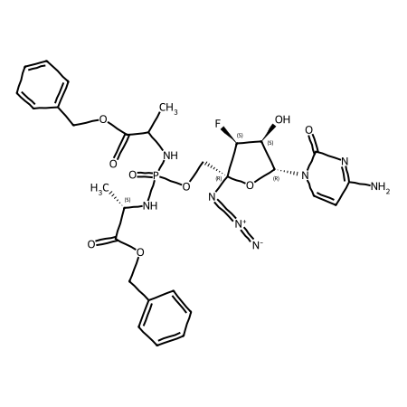 CC(NP(=O)(N[C@@H](C)C(=O)OCc1ccccc1)OC[C@@]1(N=[N+]=[N-])O[C@@H](n2ccc(N)nc2=O)[C@H](O)[C@@H]1F)C(=O)OCc1ccccc1